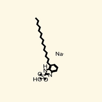 CCCCCCCCCCCCCCCc1cccc2nc(S(=O)(=O)O)[nH]c12.[Na]